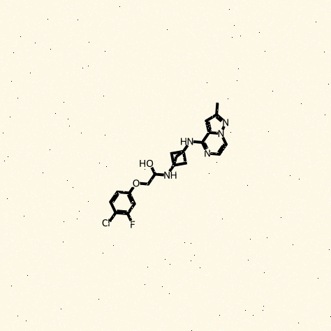 Cc1cc2c(NC34CC(NC(O)COc5ccc(Cl)c(F)c5)(C3)C4)nccn2n1